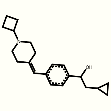 OC(CC1CC1)c1ccc(C=C2CCN(C3CCC3)CC2)cc1